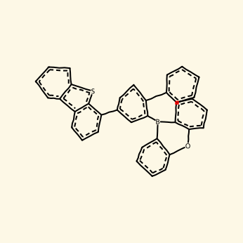 c1ccc(-c2ccc(-c3cccc4c3sc3ccccc34)cc2B2c3ccccc3Oc3ccccc32)cc1